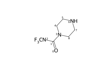 O=C(NC(F)(F)F)N1CCNCC1